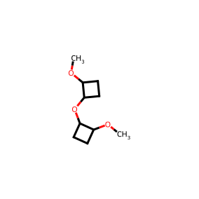 COC1CCC1OC1CCC1OC